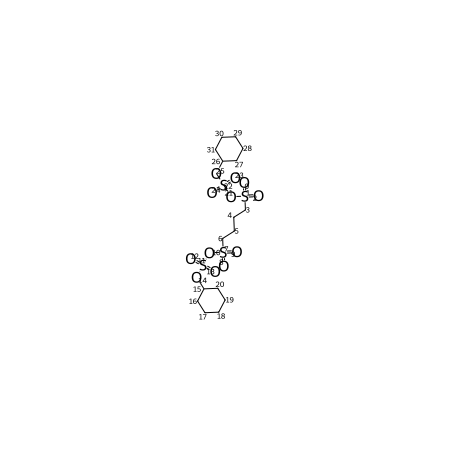 O=S(=O)(CCCCS(=O)(=O)OS(=O)(=O)OC1CCCCC1)OS(=O)(=O)OC1CCCCC1